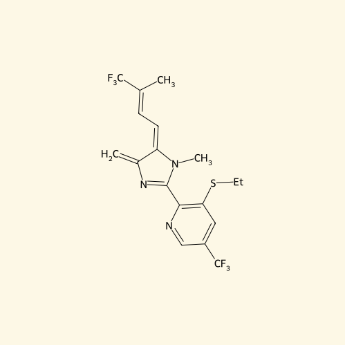 C=c1nc(-c2ncc(C(F)(F)F)cc2SCC)n(C)/c1=C/C=C(\C)C(F)(F)F